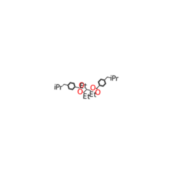 CCC(OC(=O)c1ccc(CC(C)C)cc1)C(CC)C(CC)OC(=O)c1ccc(CC(C)C)cc1